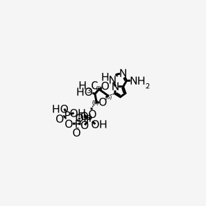 C[C@@]1(O)C(O)[C@@H](COP(=O)(O)OP(=O)(O)OP(=O)(O)O)O[C@H]1c1ccc2c(N)ncnn12